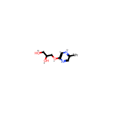 CC(C)c1cnc(OCC(O)CO)cn1